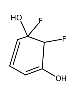 OC1=CC=CC(O)(F)C1F